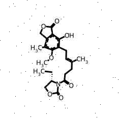 CC[C@H]1COC(=O)N1C(=O)CC/C(C)=C/Cc1c(O)c2c(c(C)c1OC)COC2=O